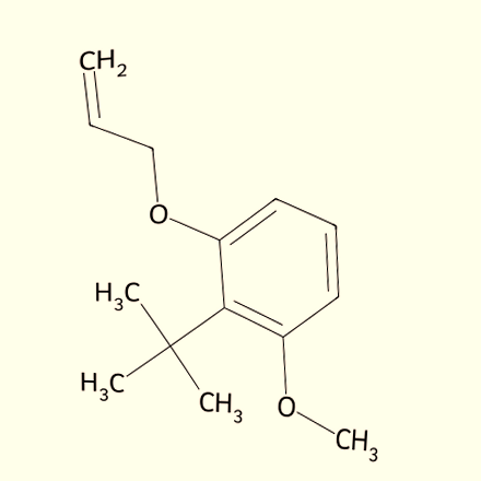 C=CCOc1cccc(OC)c1C(C)(C)C